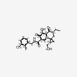 CCN1C[C@]2(C[C@H]2CO)n2cc(C(=O)NCc3cccc(Cl)c3F)c(=O)c(O)c2C1=O